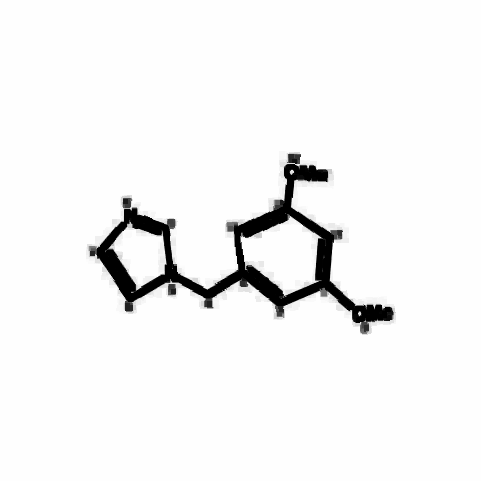 COc1cc(Cn2c[c]nc2)cc(OC)c1